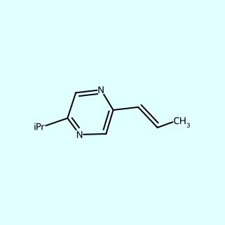 C/C=C/c1cnc(C(C)C)cn1